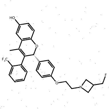 CC1=C(c2ccccc2C(F)(F)F)[C@@H](c2ccc(OCCN3CC(CF)C3)cc2)Oc2ccc(O)cc21